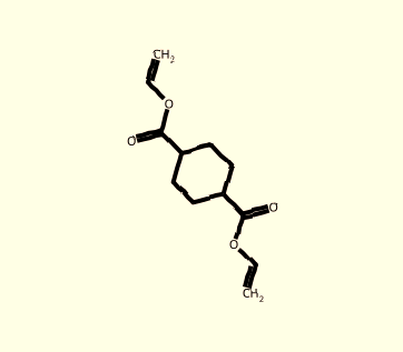 C=COC(=O)C1CCC(C(=O)OC=C)CC1